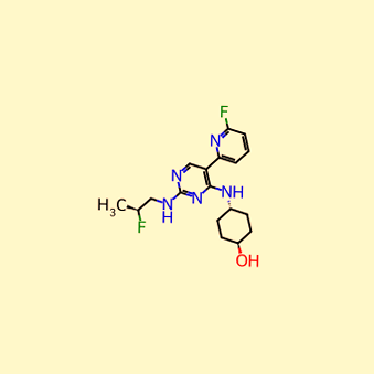 C[C@H](F)CNc1ncc(-c2cccc(F)n2)c(N[C@H]2CC[C@H](O)CC2)n1